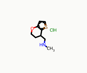 CNCC1CCOc2ccsc21.Cl